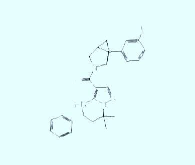 CC1(C)C[C@H](c2ccccc2)Nc2c(C(=O)N3CC4CC4(c4cccc(F)c4)C3)cnn21